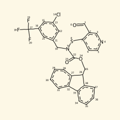 O=Cc1cnccc1SN(Cc1cc(Cl)cc(C(F)(F)F)c1)C(=O)OCC1c2ccccc2-c2ccccc21